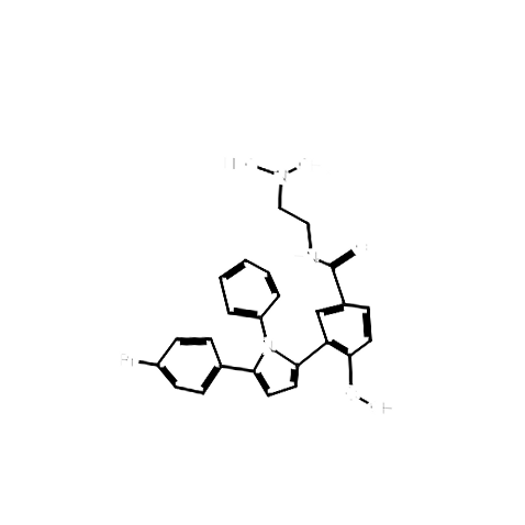 COc1ccc(C(=O)NCCN(C)C)cc1-c1ccc(-c2ccc(Br)cc2)n1-c1ccccc1